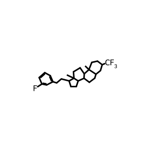 CC12CCC3C(CCC4CC(C(F)(F)F)CCC43C)C1CCC2CCc1cccc(F)c1